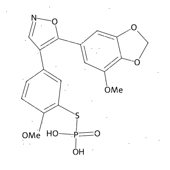 COc1ccc(-c2cnoc2-c2cc(OC)c3c(c2)OCO3)cc1SP(=O)(O)O